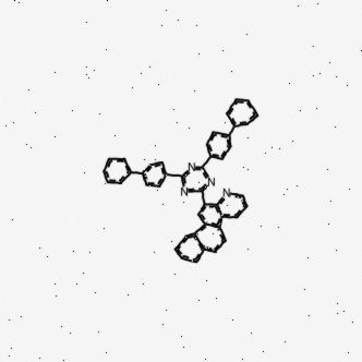 c1ccc(-c2ccc(-c3nc(-c4ccc(-c5ccccc5)cc4)nc(-c4cc5c6ccccc6ccc5c5cccnc45)n3)cc2)cc1